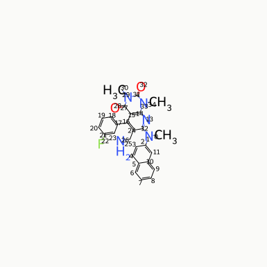 CN(c1ccc2ccccc2c1)c1nc2c(c(-c3cccc(F)c3)c1CN)c(=O)n(C)c(=O)n2C